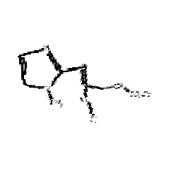 CCOC(=O)OC(=Cc1nccn1C)OCC